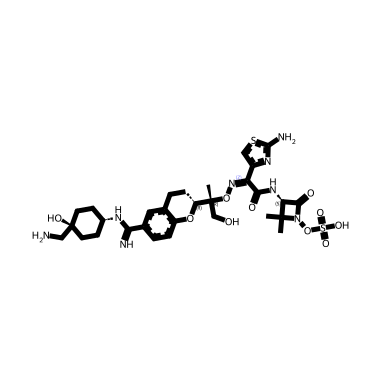 CC1(C)[C@H](NC(=O)/C(=N\O[C@](C)(CO)[C@H]2CCc3cc(C(=N)N[C@H]4CC[C@@](O)(CN)CC4)ccc3O2)c2csc(N)n2)C(=O)N1OS(=O)(=O)O